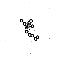 c1ccc(-c2ccc(-c3nc(-c4cccc(-c5ccc6cc(-c7cccc8ccccc78)ccc6c5)c4)nc(-c4ccccc4-c4cccc5ccccc45)n3)cc2)cc1